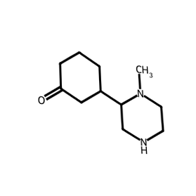 CN1CCNCC1C1CCCC(=O)C1